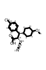 COC1CCC([C@H](c2ccc(Cl)cc2)[C@H](N=[N+]=[N-])C(=O)O)CC1